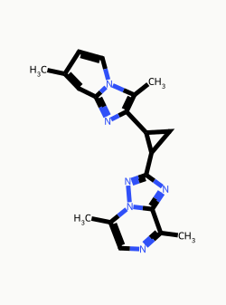 Cc1ccn2c(C)c(C3CC3c3nc4c(C)ncc(C)n4n3)nc2c1